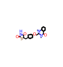 CN1C(=O)c2ccccc2N(C)C1COc1ccc(CC2SC(=O)NC2=O)cc1